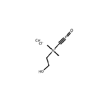 C[N+](C)(C#P=O)CCO.[Ca].[Cl-]